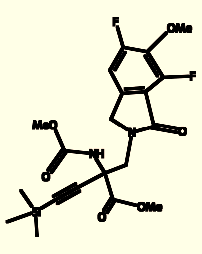 COC(=O)NC(C#C[Si](C)(C)C)(CN1Cc2cc(F)c(OC)c(F)c2C1=O)C(=O)OC